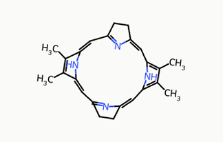 Cc1c(C)c2cc3nc(cc4[nH]c(cc5nc(cc1[nH]2)CC5)c(C)c4C)CC3